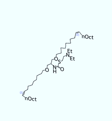 CCCCCCCC/C=C\CCCCCCCCOCC(COCCCCCCCC/C=C\CCCCCCCC)NC(=O)SCCN(CC)CC